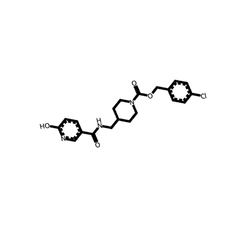 O=C(NCC1CCN(C(=O)OCc2ccc(Cl)cc2)CC1)c1ccc(O)nc1